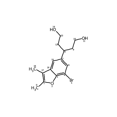 Cc1oc2c(Br)cc(C(CCO)CCO)cc2c1C